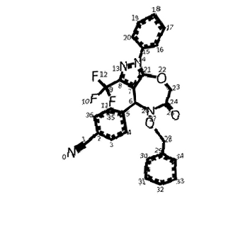 N#Cc1ccc(C2c3c(C(F)(F)F)nn(-c4ccccc4)c3OCC(=O)N2OCc2ccccc2)cc1